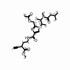 C#CC(CCNC(=O)c1csc([C@@H](CC(C(C)C)N(C)C(=O)CC(C)C)OC(C)=O)n1)C(=O)OC